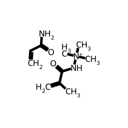 C=C(C)C(=O)N[N+](C)(C)C.C=CC(N)=O